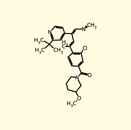 C=N/C=C(\C=C(/C)c1ccc(C(=O)N2CCCC(OC)C2)cc1Cl)c1ccnc(C(C)(C)C)c1